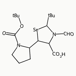 CC(C)(C)OC(=O)N1CCCC1C1[Se]C(C(C)(C)C)N(C=O)C1C(=O)O